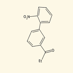 CCC(=O)c1cccc(-c2ccccc2[N+](=O)[O-])c1